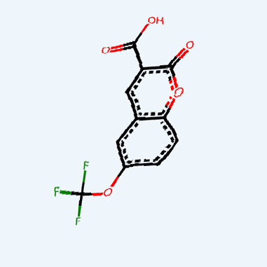 O=C(O)c1cc2cc(OC(F)(F)F)ccc2oc1=O